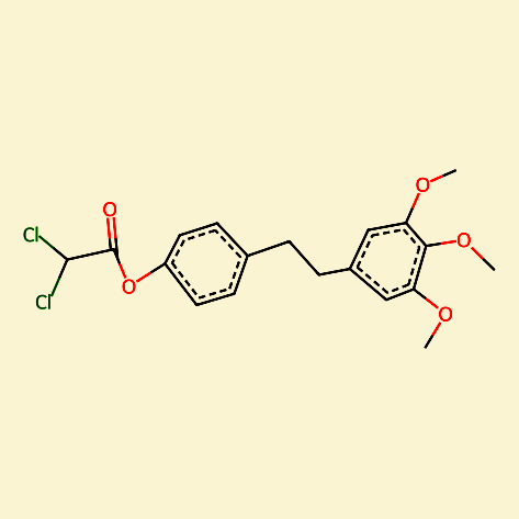 COc1cc(CCc2ccc(OC(=O)C(Cl)Cl)cc2)cc(OC)c1OC